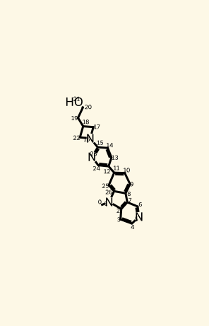 Cn1c2ccncc2c2ccc(-c3ccc(N4CC(CCO)C4)nc3)cc21